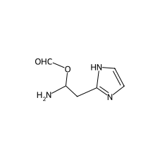 NC(Cc1ncc[nH]1)OC=O